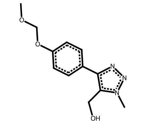 COCOc1ccc(-c2nnn(C)c2CO)cc1